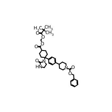 CC(C)(C)C(=O)OCOC(=O)C1CCC(c2ccc(C3CCN(C(=O)OCc4ccccc4)CC3)cc2)(N2CCNC2=O)CC1